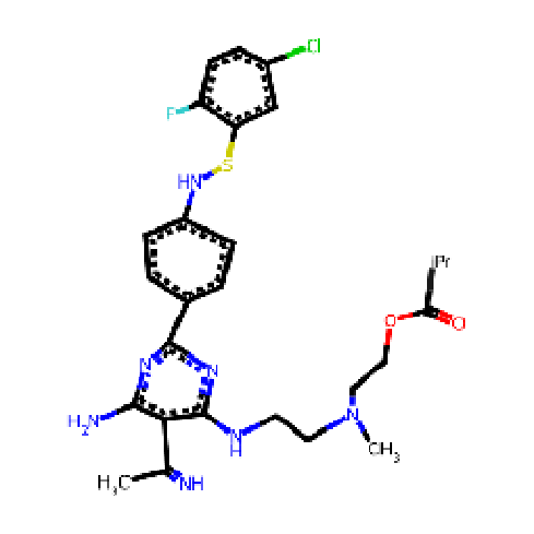 CC(=N)c1c(N)nc(-c2ccc(NSc3cc(Cl)ccc3F)cc2)nc1NCCN(C)CCOC(=O)C(C)C